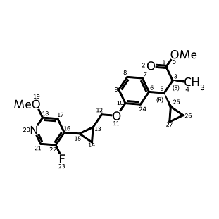 COC(=O)[C@@H](C)[C@H](c1cccc(OCC2CC2c2cc(OC)ncc2F)c1)C1CC1